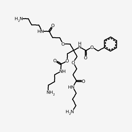 NCCCNC(=O)CCOCC(COCCC(=O)NCCCN)(COC(=O)NCCCN)NC(=O)OCc1ccccc1